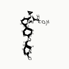 C1CC1.O=C(O)Nc1nc2cccc(-c3ccc(OCc4ccc(Cl)nc4)cc3)n2n1